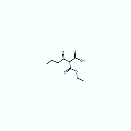 CCCC(=O)C(C(=O)O)C(=O)OCC